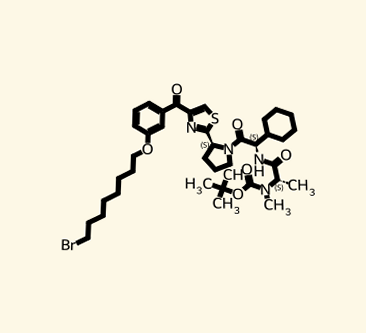 C[C@@H](C(=O)N[C@H](C(=O)N1CCC[C@H]1c1nc(C(=O)c2cccc(OCCCCCCCCBr)c2)cs1)C1CCCCC1)N(C)C(=O)OC(C)(C)C